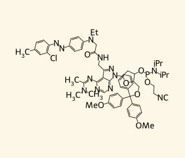 [C-]#[N+]CCOP(OC1CC(n2nc(CNC(=O)CN(CC)c3ccc(/N=N/c4ccc(C)cc4Cl)cc3)c3c(/N=C(/C)N(C)C)ncnc32)OC1COC(c1ccccc1)(c1ccc(OC)cc1)c1ccc(OC)cc1)N(C(C)C)C(C)C